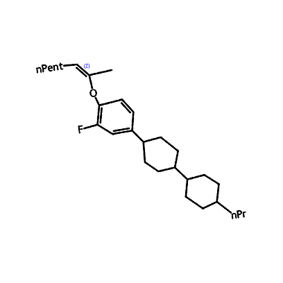 CCCCC/C=C(/C)Oc1ccc(C2CCC(C3CCC(CCC)CC3)CC2)cc1F